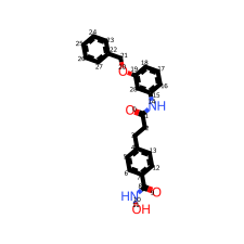 O=C(CCc1ccc(C(=O)NO)cc1)Nc1cccc(OCc2ccccc2)c1